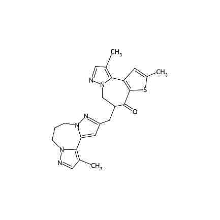 Cc1cc2c(s1)C(=O)C(Cc1cc3n(n1)CCCn1ncc(C)c1-3)Cn1ncc(C)c1-2